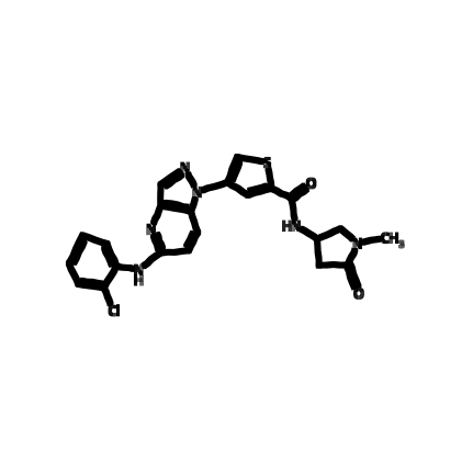 CN1CC(NC(=O)c2cc(-n3ncc4nc(Nc5ccccc5Cl)ccc43)cs2)CC1=O